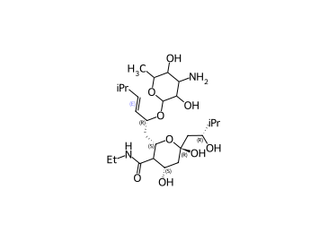 CCNC(=O)C1[C@H](C[C@H](/C=C/C(C)C)OC2OC(C)C(O)C(N)C2O)O[C@](O)(C[C@@H](O)C(C)C)C[C@@H]1O